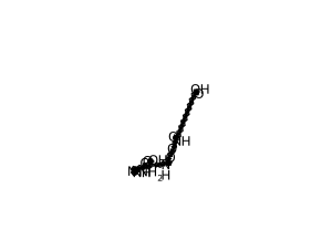 C=C(COCCOCCNC(=O)CCCCCCCCCCCCCCCCC(=O)O)NCCCC[C@H](CC(=O)[C@@H](N)Cc1cnc[nH]1)C(=O)O